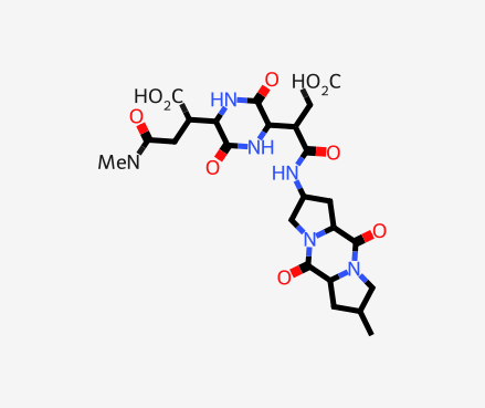 CNC(=O)CC(C(=O)O)C1NC(=O)C(C(CC(=O)O)C(=O)NC2CC3C(=O)N4CC(C)CC4C(=O)N3C2)NC1=O